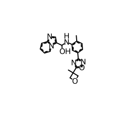 Cc1ccc(-c2noc(C3(C)COC3)n2)cc1NC(O)c1cnc2ccccn12